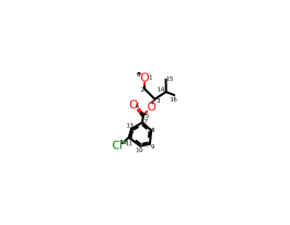 COCC(OC(=O)c1cccc(Cl)c1)C(C)C